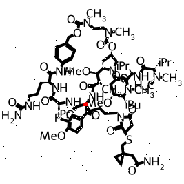 CC[C@H](C)C([C@@H](CC(=O)N1C[C@@H](OC(=O)N(C)CCN(C)C(=O)OCc2ccc(NC(=O)[C@H](CCCNC(N)=O)NC(=O)[C@@H](NC(=O)CCCCCN3C(=O)CC(SCC4(CC(N)=O)CC4)C3=O)C(C)C)cc2)C[C@H]1[C@H](OC)[C@@H](C)C(=O)NCC(=O)c1ccc(OC)c(F)c1)OC)N(C)C(=O)[C@@H](NC(=O)[C@H](C(C)C)N(C)C)C(C)C